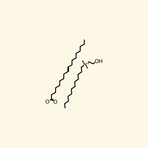 CCCCCCCCC=CCCCCCCCC(=O)[O-].CCCCCCCCCCCC[N+](C)(C)CCO